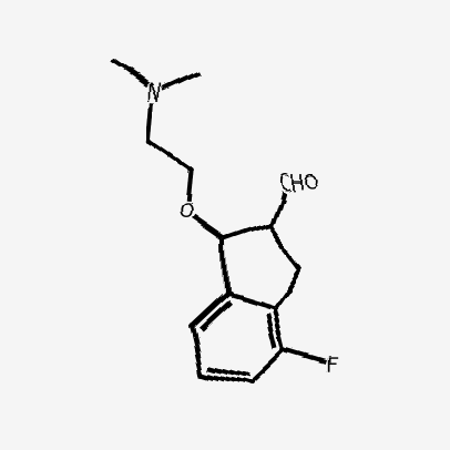 CN(C)CCOC1c2cccc(F)c2CC1C=O